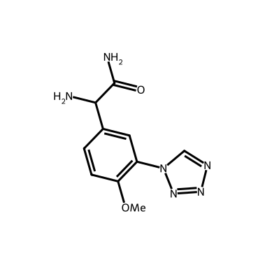 COc1ccc(C(N)C(N)=O)cc1-n1cnnn1